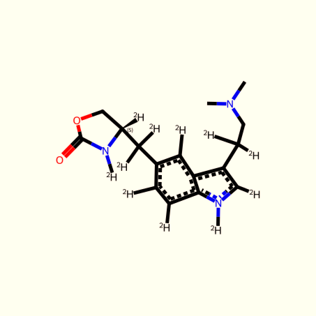 [2H]c1c(C([2H])([2H])[C@@]2([2H])COC(=O)N2[2H])c([2H])c2c(C([2H])([2H])CN(C)C)c([2H])n([2H])c2c1[2H]